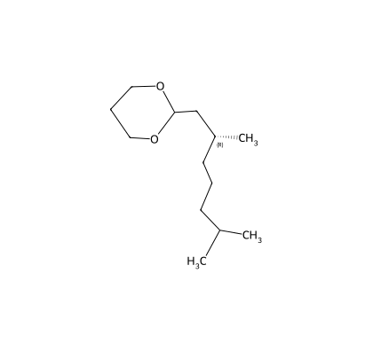 CC(C)CCC[C@@H](C)CC1OCCCO1